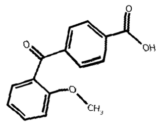 COc1ccccc1C(=O)c1ccc(C(=O)O)cc1